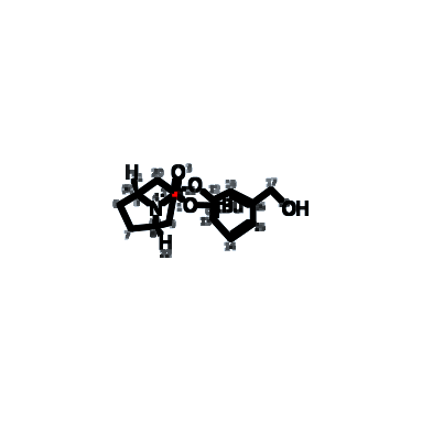 CC(C)(C)OC(=O)N1[C@@H]2CC[C@H]1C[C@@H](Oc1cccc(CO)c1)C2